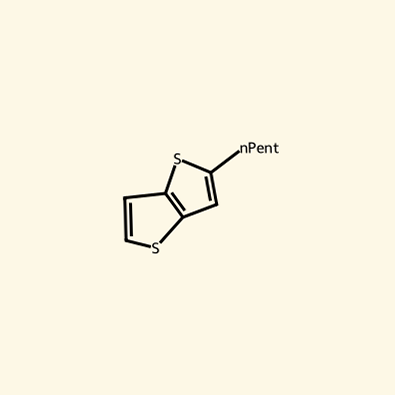 CCCCCc1cc2sccc2s1